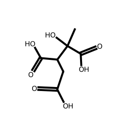 CC(O)(C(=O)O)C(CC(=O)O)C(=O)O